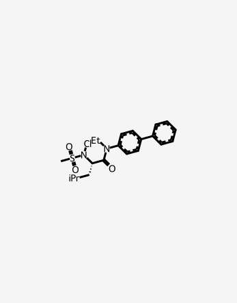 CCN(C(=O)[C@H](CC(C)C)N(Cl)S(C)(=O)=O)c1ccc(-c2ccccc2)cc1